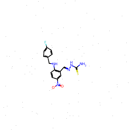 NC(=S)N/N=C/c1cc([N+](=O)[O-])ccc1NCc1ccc(F)cc1